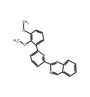 COc1cccc(-c2cccc(-c3ncc4ccccc4n3)n2)c1OC